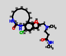 CNC(=O)CCN(C)Cc1cc2cc(Cl)c3c(c2o1)CCCCCCCNC(=O)N3